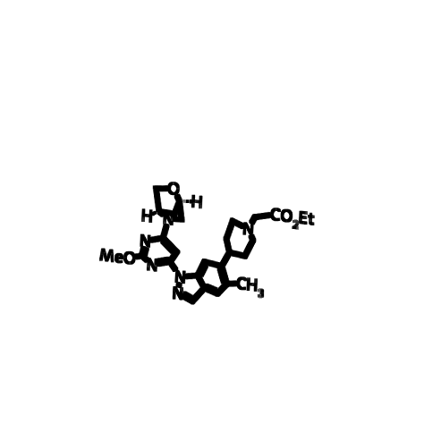 CCOC(=O)CN1CCC(c2cc3c(cnn3-c3cc(N4C[C@H]5C[C@@H]4CO5)nc(OC)n3)cc2C)CC1